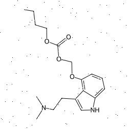 CCCCOC(=O)OCOc1cccc2[nH]cc(CCN(C)C)c12